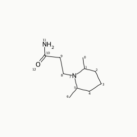 CC1CCCC(C)N1CCC(N)=O